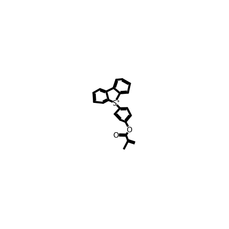 C=C(C)C(=O)Oc1ccc(-[s+]2c3ccccc3c3ccccc32)cc1